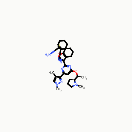 Cc1cn(C)nc1-c1cc(O[C@@H](C)[C@@H]2CCCN2C)nc(-c2noc3c2CCC[C@@]32CCCc3sc(N)c(C#N)c32)n1